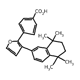 CC1(C)CCC(C)(C)c2cc(-c3ccoc3-c3ccc(C(=O)O)cc3)ccc21